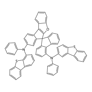 c1ccc(N(c2ccc3sc4ccccc4c3c2)c2cccc3c2-c2ccccc2C32c3cc(N(c4ccccc4)c4cccc5c4sc4ccccc45)ccc3-c3c2oc2ccccc32)cc1